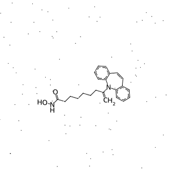 C=C(CCCCCCC(=O)NO)N1c2ccccc2C=Cc2ccccc21